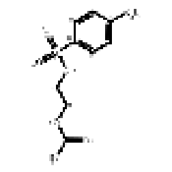 CCC(=O)OCCOS(=O)(=O)c1ccc(C)cc1